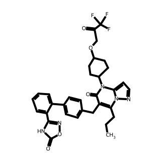 CCCc1c(Cc2ccc(-c3ccccc3-c3noc(=O)[nH]3)cc2)c(=O)n(C2CCC(OCC(=O)C(F)(F)F)CC2)c2ccnn12